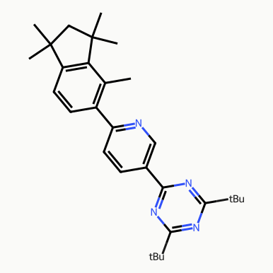 Cc1c(-c2ccc(-c3nc(C(C)(C)C)nc(C(C)(C)C)n3)cn2)ccc2c1C(C)(C)CC2(C)C